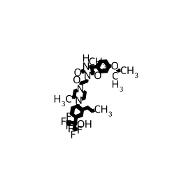 CCCc1cc(C(O)(C(F)(F)F)C(F)(F)F)ccc1N1CCN(C(=O)CN2C(=O)NC(C)(c3ccc(OC(C)C)cc3)C2=O)CC1C